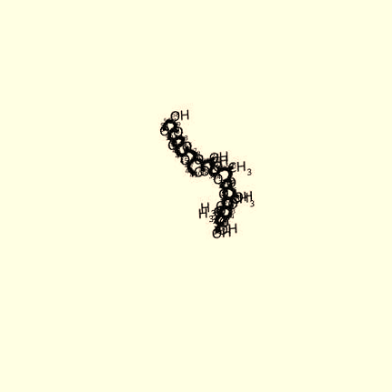 CC1CC2OC3CC(O)C4(C)OC5CCC6OC(O)(CO)CCC6(C)OC5(C)CC4OC3CC2OC2CC3OC4C/C=C\CC5OC6C=CC7OC8CC9OCCC(O)CC9OC8CC7OC6C=CC5OC4CC(O)C3(C)OC2C1